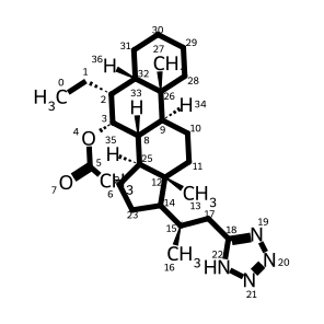 CC[C@H]1[C@@H](OC(C)=O)[C@@H]2[C@H](CC[C@]3(C)C([C@H](C)Cc4nnn[nH]4)CC[C@@H]23)[C@@]2(C)CCCC[C@@H]12